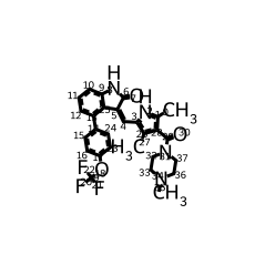 Cc1[nH]c(/C=C2\C(=O)Nc3cccc(-c4ccc(OC(F)(F)F)cc4)c32)c(C)c1C(=O)N1CCN(C)CC1